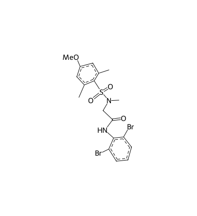 COc1cc(C)c(S(=O)(=O)N(C)CC(=O)Nc2c(Br)cccc2Br)c(C)c1